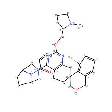 C=CC(=O)N1C2CCC1CN(c1nc(OCC3CCCN3C)nc3c1CCC1(COCc4cccc(F)c41)C3)C2